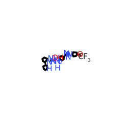 N/C(=N\C(O)Nc1ccc(-c2ncn(-c3ccc(OC(F)(F)F)cc3)n2)cc1)Nc1ccccc1-c1ccccc1